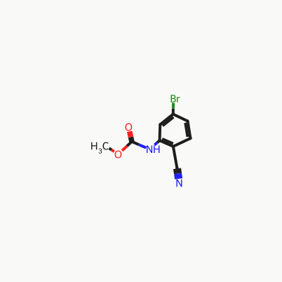 COC(=O)Nc1cc(Br)ccc1C#N